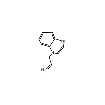 C=CCN1C=CNc2ccccc21